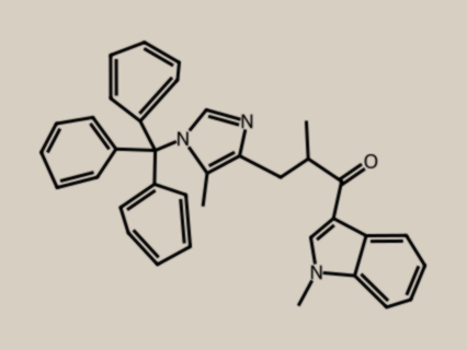 Cc1c(CC(C)C(=O)c2cn(C)c3ccccc23)ncn1C(c1ccccc1)(c1ccccc1)c1ccccc1